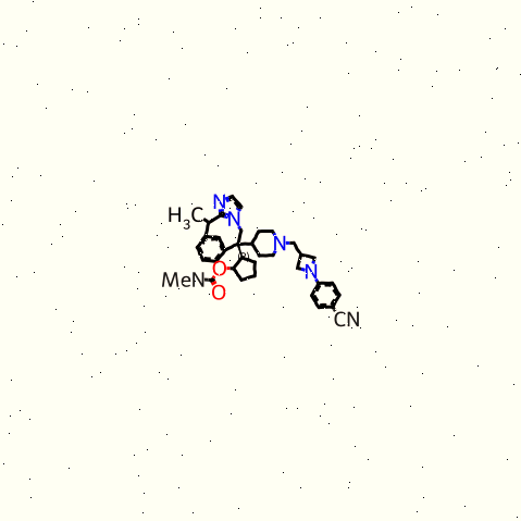 CNC(=O)OC1CCC[C@@H]1C1(C2CCN(CC3CN(c4ccc(C#N)cc4)C3)CC2)Cn2ccnc2C(C)c2cccc1c2